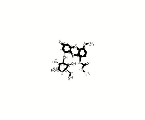 COC(=O)Oc1ccc(OC)c2oc3cc(=O)ccc-3nc12.OC[C@H]1O[C@@H](O)[C@H](O)[C@@H](O)[C@H]1O